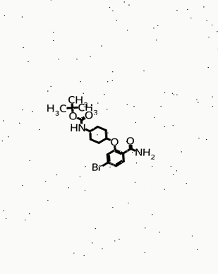 CC(C)(C)OC(=O)NC1CCC(Oc2cc(Br)ccc2C(N)=O)CC1